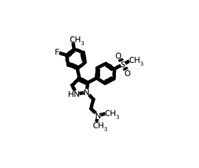 Cc1ccc(C2=C(c3ccc(S(C)(=O)=O)cc3)N(CCN(C)C)NC2)cc1F